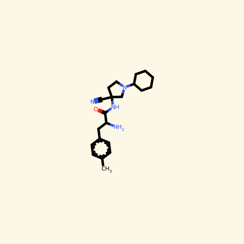 Cc1ccc(CC(N)C(=O)NC2(C#N)CCN(C3CCCCC3)C2)cc1